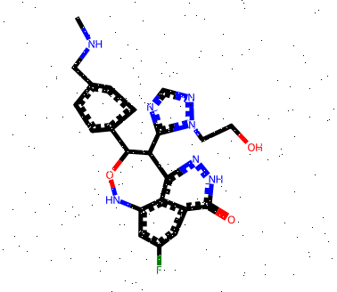 CNCc1ccc(C2ONc3cc(F)cc4c(=O)[nH]nc(c34)C2c2ncnn2CCO)cc1